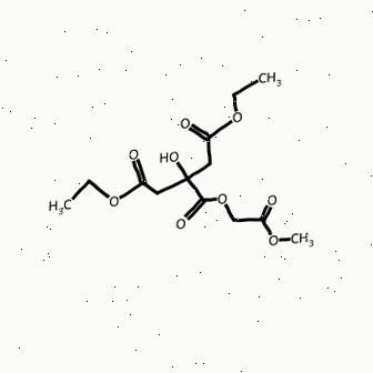 CCOC(=O)CC(O)(CC(=O)OCC)C(=O)OCC(=O)OC